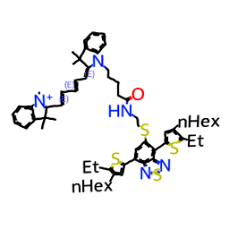 CCCCCCc1cc(-c2cc(SCCNC(=O)CCCCN3/C(=C/C=C/C=C/C4=[N+](C)c5ccccc5C4(C)C)C(C)(C)c4ccccc43)c(-c3cc(CCCCCC)c(CC)s3)c3nsnc23)sc1CC